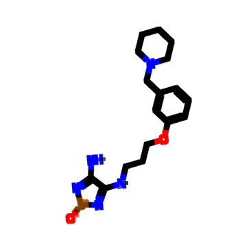 [NH]c1n[s+]([O-])nc1[N]CCCOc1cccc(CN2CCCCC2)c1